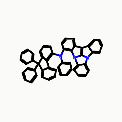 c1ccc(N(c2cccc3c2-c2ccccc2C3(c2ccccc2)c2ccccc2)c2cccc3c4c5ccccc5n5c6ccccc6n(c23)c45)cc1